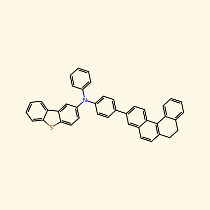 c1ccc(N(c2ccc(-c3ccc4c5c(ccc4c3)CCc3ccccc3-5)cc2)c2ccc3sc4ccccc4c3c2)cc1